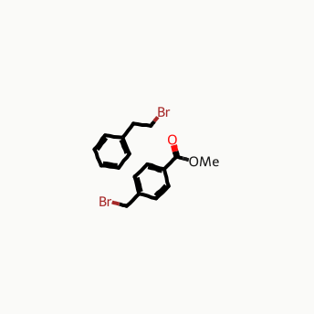 BrCCc1ccccc1.COC(=O)c1ccc(CBr)cc1